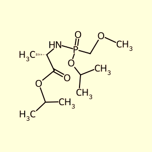 COCP(=O)(N[C@@H](C)C(=O)OC(C)C)OC(C)C